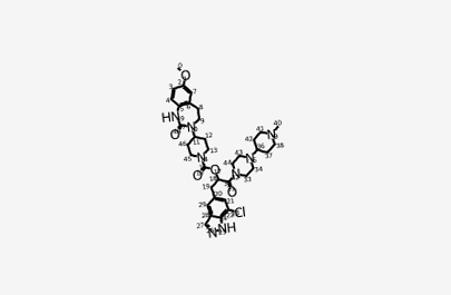 COc1ccc2c(c1)CCN(C1CCN(C(=O)OC(Cc3cc(Cl)c4[nH]ncc4c3)C(=O)N3CCN(C4CCN(C)CC4)CC3)CC1)C(=O)N2